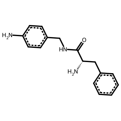 Nc1ccc(CNC(=O)[C@@H](N)Cc2ccccc2)cc1